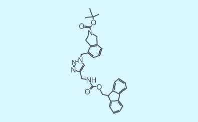 CC(C)(C)OC(=O)N1Cc2cccc(Cn3cc(CNC(=O)OCC4c5ccccc5-c5ccccc54)nn3)c2C1